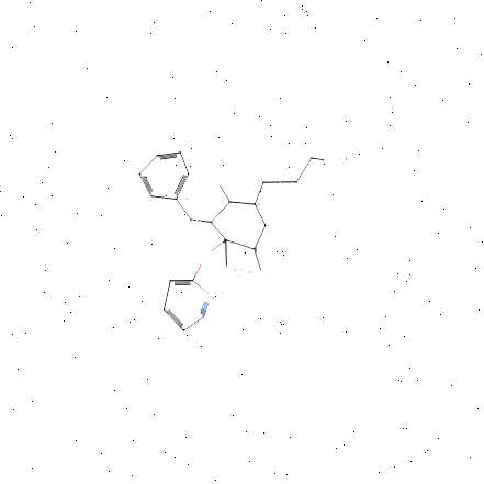 COCCCC1CC(C(C)C)C(OC)(Oc2ccccn2)C(Cc2ccccc2)C1C